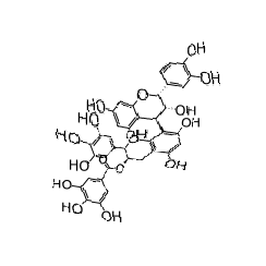 O=C(O[C@@H]1Cc2c(O)cc(O)c([C@H]3c4c(O)cc(O)cc4O[C@H](c4ccc(O)c(O)c4)[C@@H]3O)c2O[C@@H]1c1cc(O)c(O)c(O)c1)c1cc(O)c(O)c(O)c1